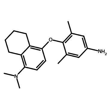 Cc1cc(N)cc(C)c1Oc1ccc(N(C)C)c2c1CCCC2